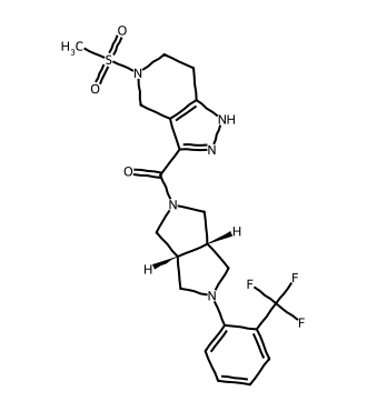 CS(=O)(=O)N1CCc2[nH]nc(C(=O)N3C[C@@H]4CN(c5ccccc5C(F)(F)F)C[C@@H]4C3)c2C1